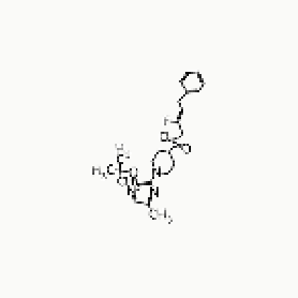 Cc1cnc(OC(C)(C)C)c(N2CCC(S(=O)(=O)CC(F)=CCc3ccccc3)CC2)n1